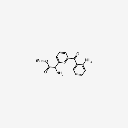 CC(C)(C)OC(=O)C(N)c1cccc(C(=O)c2ccccc2N)c1